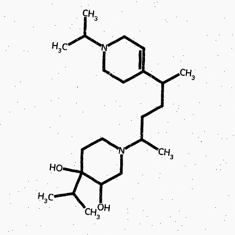 CC(CCC(C)N1CCC(O)(C(C)C)C(O)C1)C1=CCN(C(C)C)CC1